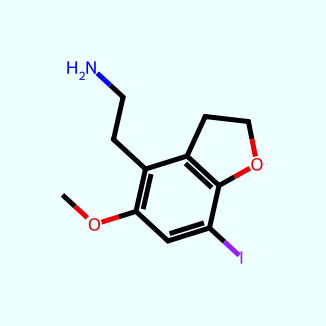 COc1cc(I)c2c(c1CCN)CCO2